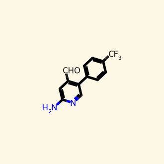 Nc1cc(C=O)c(-c2ccc(C(F)(F)F)cc2)cn1